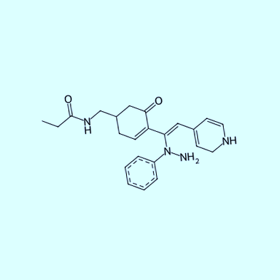 CCC(=O)NCC1CC=C(/C(=C/C2=CCNC=C2)N(N)c2ccccc2)C(=O)C1